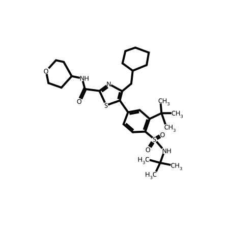 CC(C)(C)NS(=O)(=O)c1ccc(-c2sc(C(=O)NC3CCOCC3)nc2CC2CCCCC2)cc1C(C)(C)C